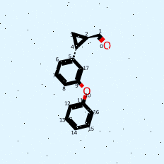 O=C[C@@H]1C[C@H]1c1cccc(Oc2ccccc2)c1